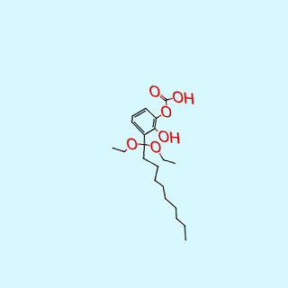 CCCCCCCCCC(OCC)(OCC)c1cccc(OC(=O)O)c1O